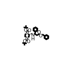 CC(C)(C)OC(=O)N1CCN(C(=O)OC(C)(C)C)[C@H](CNC(CC(=O)OCc2ccccc2)c2ccccc2)C1